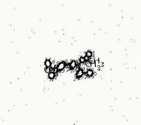 CC1C=CC=CC1n1c2ccccc2c2cc(-c3ccc(N(c4cccc(-c5ccccc5)c4)c4ccc5c(c4)C(C)(C)c4ccccc4-5)cc3)ccc21